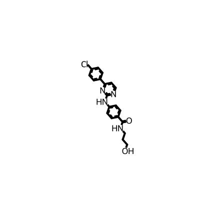 O=C(NCCCO)c1ccc(Nc2nccc(-c3ccc(Cl)cc3)n2)cc1